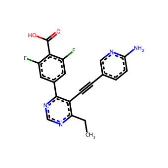 CCc1ncnc(-c2cc(F)c(C(=O)O)c(F)c2)c1C#Cc1ccc(N)nc1